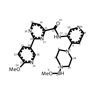 COBN1CCN(c2ccncc2NC(=O)c2ccnc(-c3ccc(OC)nc3)n2)CC1